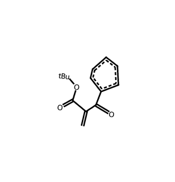 C=C(C(=O)OC(C)(C)C)C(=O)c1ccccc1